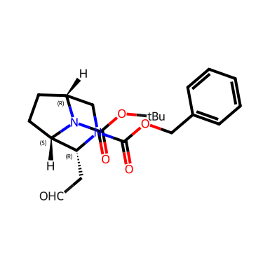 CC(C)(C)OC(=O)N1[C@@H]2CC[C@H]1[C@@H](CC=O)N(C(=O)OCc1ccccc1)C2